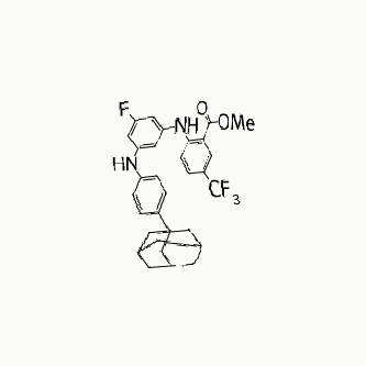 COC(=O)c1cc(C(F)(F)F)ccc1Nc1cc(F)cc(Nc2ccc(C34CC5CC(CC(C5)C3)C4)cc2)c1